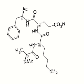 CN[C@@H](C)C(=O)N[C@@H](CCCCN)C(=O)N[C@@H](CCC(=O)O)C(=O)N[C@@H](Cc1ccccc1)C(C)=O